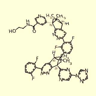 CC1(C)[C@@H]2c3cc(-c4c(F)cccc4F)nnc3[C@@]1(c1cncc(-n3cncn3)n1)CC2c1ccc(F)c(-c2cc3c(nn2)[C@@]2(c4cncc(C(=O)NCCO)c4)CC[C@@H]3C2(C)C)c1F